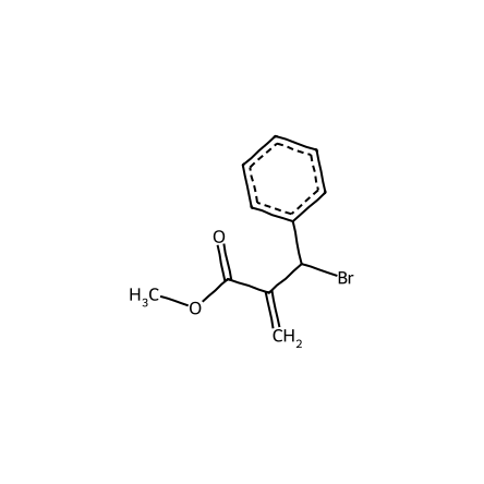 C=C(C(=O)OC)C(Br)c1ccccc1